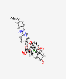 CNc1ccc(CNc2ccc([C@@H]3O[C@@H]4CC5[C@@H]6CCC7=CC(=O)C=C[C@]7(C)[C@@]6(F)[C@@H](O)C[C@]5(C)[C@]4(C(=O)CO)O3)cn2)cc1